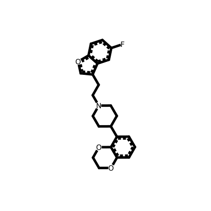 Fc1ccc2occ(CCN3CCC(c4cccc5c4OCCO5)CC3)c2c1